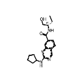 CC[C@@H](CO)NC(=O)c1ccc2cnc(NC3CCCC3)nc2c1